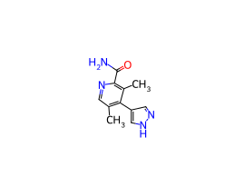 Cc1cnc(C(N)=O)c(C)c1-c1cn[nH]c1